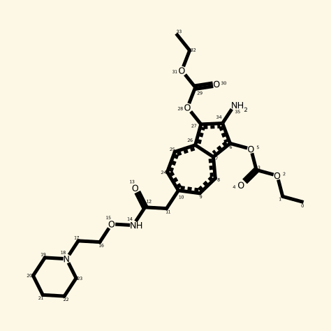 CCOC(=O)Oc1c2ccc(CC(=O)NOCCN3CCCCC3)ccc-2c(OC(=O)OCC)c1N